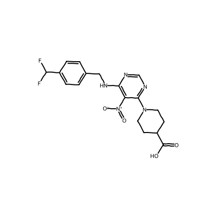 O=C(O)C1CCN(c2ncnc(NCc3ccc(C(F)F)cc3)c2[N+](=O)[O-])CC1